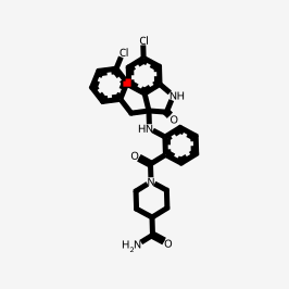 NC(=O)C1CCN(C(=O)c2ccccc2NC2(Cc3cccc(Cl)c3)C(=O)Nc3cc(Cl)ccc32)CC1